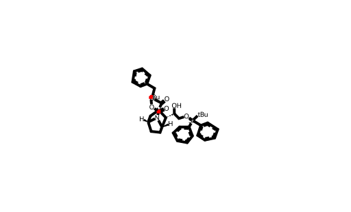 CC(C)(C)OC(=O)N1[C@@H]2CC[C@H]1[C@@H](C(O)CO[Si](c1ccccc1)(c1ccccc1)C(C)(C)C)N(C(=O)OCc1ccccc1)C2